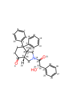 O=C1CCC(c2ccccc2)(c2ccccc2)[C@@H]2CN(C(=O)[C@@H](O)c3ccccc3)C[C@H]12